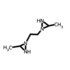 CC1NN1CCN1NC1C